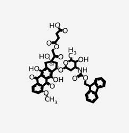 COc1cccc2c1C(=O)c1c(O)c3c(c(O)c1C2=O)C[C@@](O)(C(=O)COC(=O)CCC(=O)O)C[C@@H]3OC1CC(NC(=O)OCC2c3ccccc3-c3ccccc32)C(O)C(C)O1